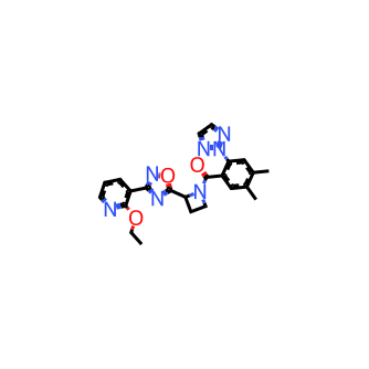 CCOc1ncccc1-c1noc(C2CCN2C(=O)c2cc(C)c(C)cc2-n2nccn2)n1